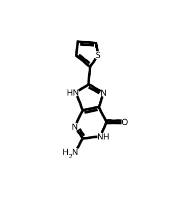 Nc1nc2[nH]c(-c3cccs3)nc2c(=O)[nH]1